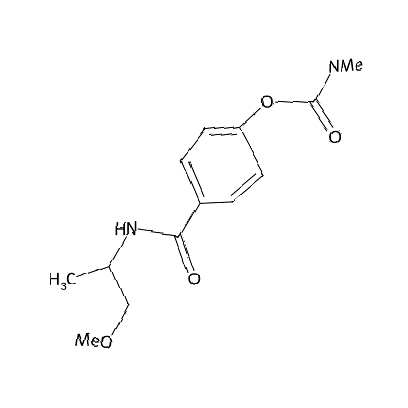 CNC(=O)Oc1ccc(C(=O)NC(C)COC)cc1